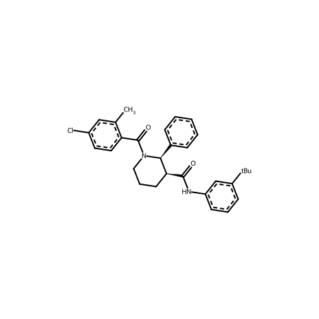 Cc1cc(Cl)ccc1C(=O)N1CCC[C@H](C(=O)Nc2cccc(C(C)(C)C)c2)[C@@H]1c1ccccc1